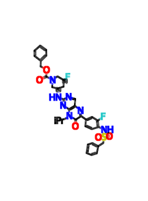 CC(C)n1c(=O)c(-c2ccc(NS(=O)(=O)Cc3ccccc3)c(F)c2)nc2cnc(N[C@H]3C[C@H](F)CN(C(=O)OCc4ccccc4)C3)nc21